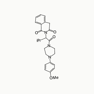 COc1ccc(N2CCN(C(=O)C(C(C)C)N3C(=O)Cc4ccccc4C3=O)CC2)cc1